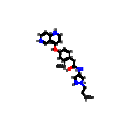 COCCn1cc(NC(=O)Cc2ccc(Oc3ccnc4ccncc34)cc2OC)cn1